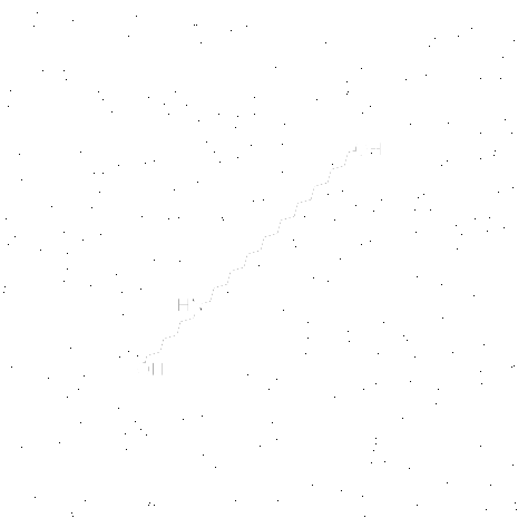 OCCCCCCCCCCCCCCCCCCNCCCCCCO